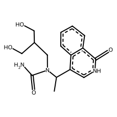 CC(c1c[nH]c(=O)c2ccccc12)N(CC(CO)CO)C(N)=O